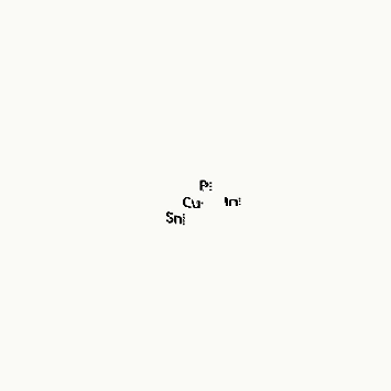 [Cu].[In].[P].[Sn]